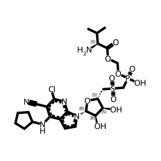 CC(C)[C@H](N)C(=O)OCOP(=O)(O)CS(=O)(=O)C[C@H]1O[C@@H](n2ccc3c(NC4CCCC4)c(C#N)c(Cl)nc32)[C@H](O)[C@@H]1O